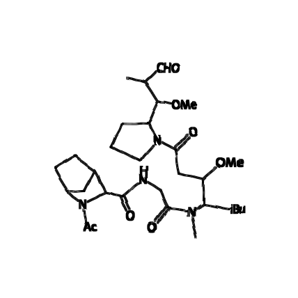 CCC(C)C(C(CC(=O)N1CCCC1C(OC)C(C)C=O)OC)N(C)C(=O)CNC(=O)C1C2CCC(C2)N1C(C)=O